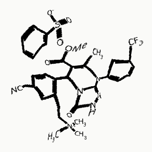 COC(=O)C1=C(C)N(c2cccc(C(F)(F)F)c2)c2n[nH]c(=O)n2C1c1ccc(C#N)cc1CC[N+](C)(C)C.O=S(=O)([O-])c1ccccc1